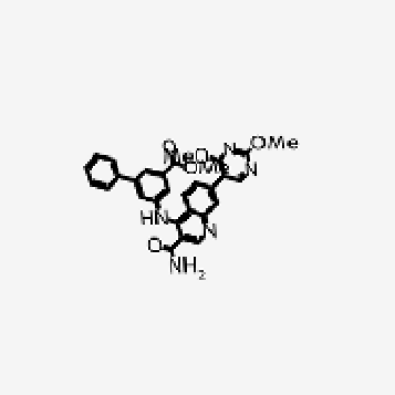 COC(=O)c1cc(Nc2c(C(N)=O)cnc3cc(-c4cnc(OC)nc4OC)ccc23)cc(-c2ccccc2)c1